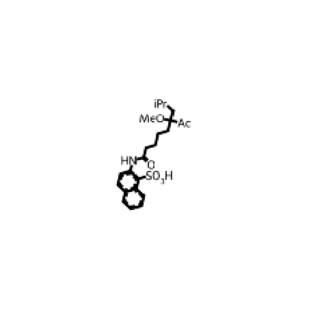 COC(CCCCC(=O)Nc1ccc2ccccc2c1S(=O)(=O)O)(CC(C)C)C(C)=O